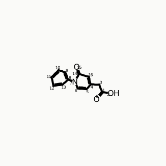 O=C(O)Cc1ccn(-c2ccccc2)c(=O)c1